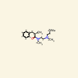 CNCCN(C)CCN(C)C(=O)[C@H](C)Cc1ccccc1